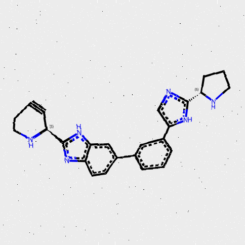 C1#C[C@@H](c2nc3ccc(-c4cccc(-c5cnc([C@@H]6CCCN6)[nH]5)c4)cc3[nH]2)NCC1